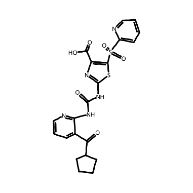 O=C(Nc1nc(C(=O)O)c(S(=O)(=O)c2ccccn2)s1)Nc1ncccc1C(=O)C1CCCC1